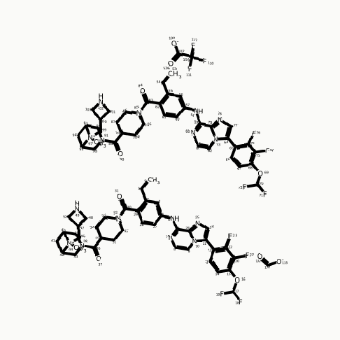 CCc1cc(Nc2nccn3c(-c4ccc(OC(F)F)c(F)c4F)cnc23)ccc1C(=O)N1CCC(C(=O)N2CC3CC(C2)[N+]3(C)CC2CNC2)CC1.CCc1cc(Nc2nccn3c(-c4ccc(OC(F)F)c(F)c4F)cnc23)ccc1C(=O)N1CCC(C(=O)N2CC3CC(C2)[N+]3(C)CC2CNC2)CC1.O=C([O-])C(F)(F)F.O=C[O-]